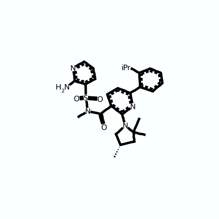 CC(C)c1ccccc1-c1ccc(C(=O)N(C)S(=O)(=O)c2cccnc2N)c(N2C[C@@H](C)CC2(C)C)n1